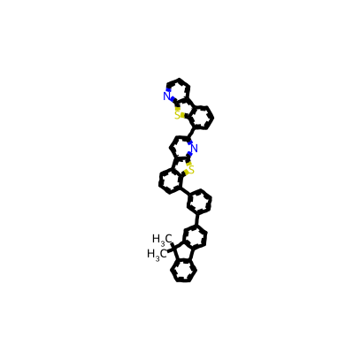 CC1(C)c2ccccc2-c2ccc(-c3cccc(-c4cccc5c4sc4nc(-c6cccc7c6sc6ncccc67)ccc45)c3)cc21